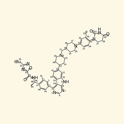 Cc1cc(-c2ncnc3[nH]c4cc(C5CCN(CC6CCN(c7ccc(N8CCC(=O)NC8=O)c(F)c7)CC6)CC5)ccc4c23)ccc1[C@@H](C)NC(=O)c1nc(C(C)(C)C)no1